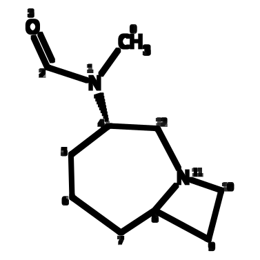 CN(C=O)[C@H]1CCCC2CCN2C1